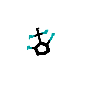 [CH2]C(F)(F)c1c(F)cccc1F